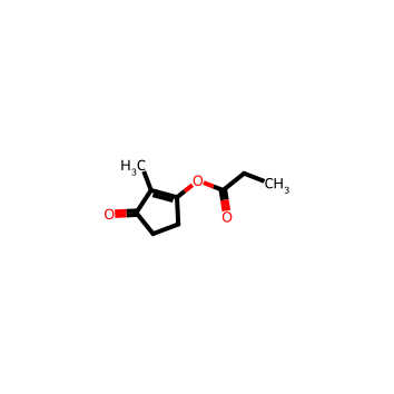 CCC(=O)OC1=C(C)C(=O)CC1